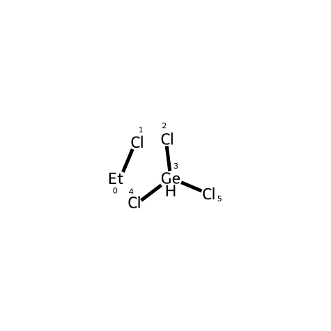 CCCl.[Cl][GeH]([Cl])[Cl]